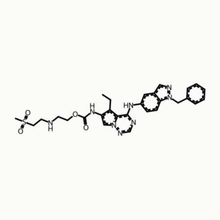 CCc1c(NC(=O)OCCNCCS(C)(=O)=O)cn2ncnc(Nc3ccc4c(cnn4Cc4ccccc4)c3)c12